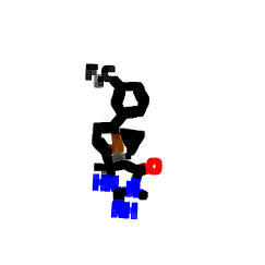 CN1C(=N)N[C@](C)(c2ccc(-c3cccc(C(F)(F)F)c3)s2)[C@H](C2CC2)C1=O